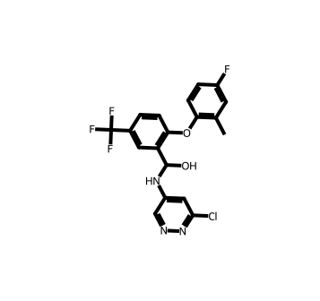 Cc1cc(F)ccc1Oc1ccc(C(F)(F)F)cc1C(O)Nc1cnnc(Cl)c1